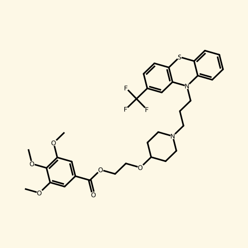 COc1cc(C(=O)OCCOC2CCN(CCCN3c4ccccc4Sc4ccc(C(F)(F)F)cc43)CC2)cc(OC)c1OC